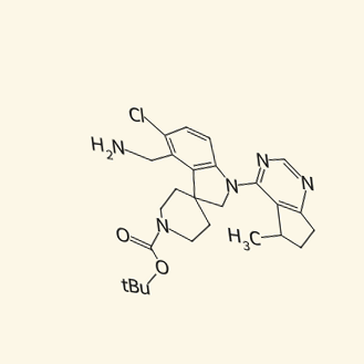 CC1CCc2ncnc(N3CC4(CCN(C(=O)OC(C)(C)C)CC4)c4c3ccc(Cl)c4CN)c21